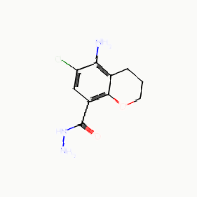 NNC(=O)c1cc(Cl)c(N)c2c1OCCC2